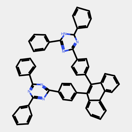 c1ccc(C2=NC(c3ccc(-c4c(-c5ccc(-c6nc(-c7ccccc7)nc(-c7ccccc7)n6)cc5)c5ccccc5c5ccccc45)cc3)=NC(c3ccccc3)N2)cc1